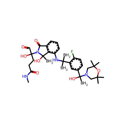 BC(B)(Nc1cccc2c1C(B)(O)N(C(O)(C=O)CCC(=O)NC)C2=O)c1cc(C(B)(O)N2CC(C)(C)OC(C)(C)C2)ccc1F